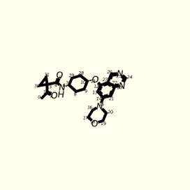 CC(=O)C1(C(=O)N[C@H]2CC[C@@H](Oc3cc(N4CCOCC4)cc4ncncc34)CC2)CC1